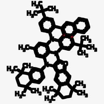 Cc1cc2c3c(c1)N(c1ccc4c(c1)C(C)(C)CCC4(C)C)c1c(oc4cc5c(cc14)C(C)(C)CCC5(C)C)B3c1cc(C(C)(C)C)ccc1N2c1ccc(C(C)(C)C)cc1-c1ccc2ccccc2c1